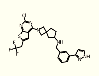 FC(F)(F)Cc1cc2c(N3CC4(CCC(NCc5cccc(-c6cc[nH]n6)c5)C4)C3)nc(Cl)nc2s1